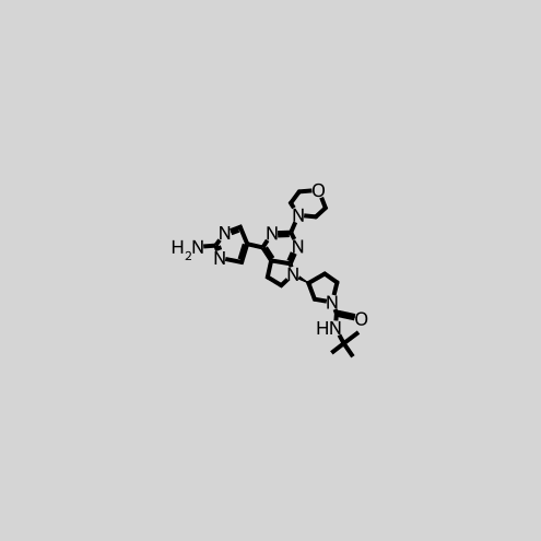 CC(C)(C)NC(=O)N1CC[C@H](N2CCc3c(-c4cnc(N)nc4)nc(N4CCOCC4)nc32)C1